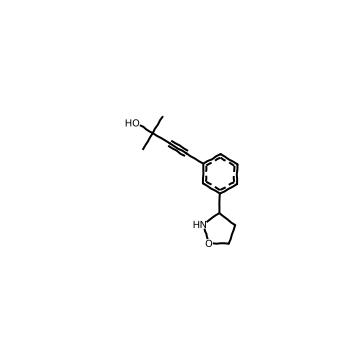 CC(C)(O)C#Cc1cccc(C2CCON2)c1